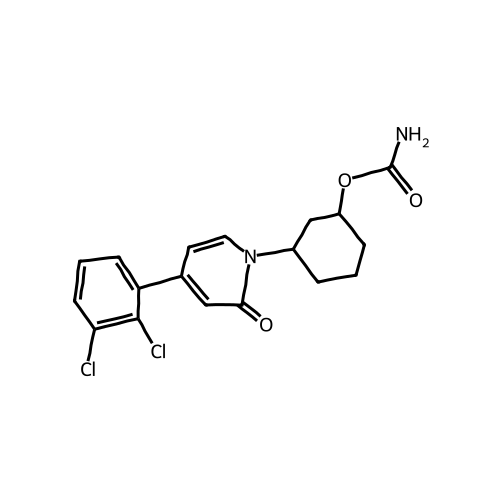 NC(=O)OC1CCCC(n2ccc(-c3cccc(Cl)c3Cl)cc2=O)C1